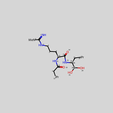 CNC(=N)NCCC[C@H](NC(=O)CC(C)C)C(=O)N[C@@H](CC(C)C)B(O)O